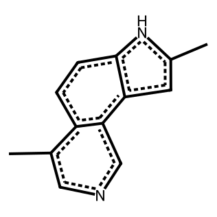 Cc1cc2c(ccc3c(C)cncc32)[nH]1